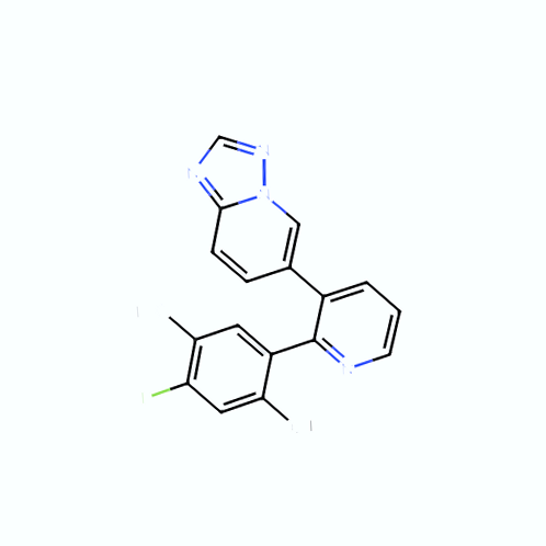 Cc1cc(-c2ncccc2-c2ccc3ncnn3c2)c(C)cc1F